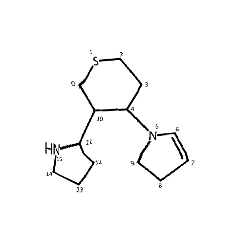 [CH]1SCCC(N2C=CCC2)C1C1CCCN1